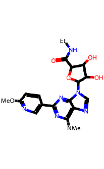 CCNC(=O)C1OC(n2cnc3c(NC)nc(-c4ccc(OC)nc4)nc32)C(O)C1O